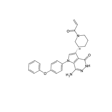 C=CC(=O)N1CCC[C@H](c2cn(-c3ccc(Oc4ccccc4)cc3)c3c(N)n[nH]c(=O)c23)C1